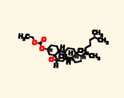 CCOC(=O)O[C@H]1CC[C@]2(C)[C@H]3CC[C@]4(C)[C@@H](C(C)CCCC(C)C)CC[C@H]4[C@@H]3C[C@@H]3OC32C1